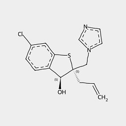 C=CC[C@@]1(Cn2ccnc2)Sc2cc(Cl)ccc2[C@@H]1O